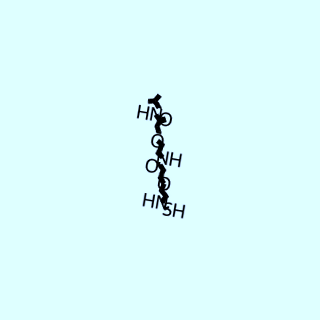 CC(C)CNC(=O)CCOCCNC(=O)CCOCCNS